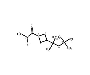 C[S+]([O-])C(=O)N1CC(C(C)(C)CC(C)(C)O)C1